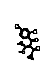 CSC(SC)=C(C(=O)c1ccc(Cl)cc1Cl)C(=O)C1CC1